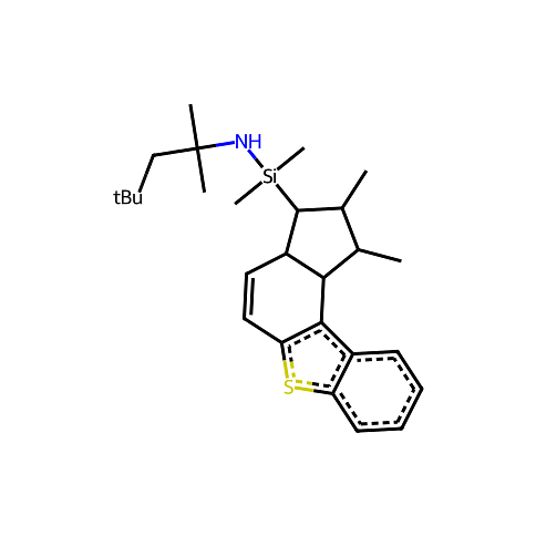 CC1C(C)C([Si](C)(C)NC(C)(C)CC(C)(C)C)C2C=Cc3sc4ccccc4c3C12